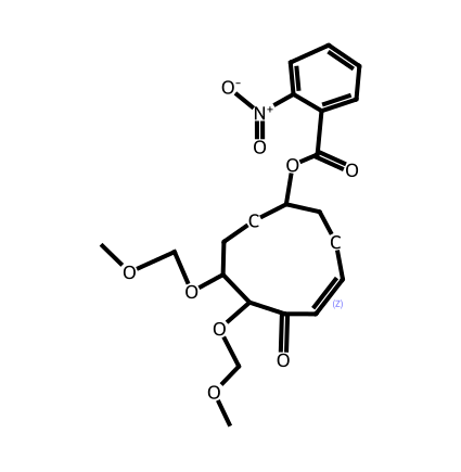 COCOC1CCC(OC(=O)c2ccccc2[N+](=O)[O-])CC/C=C\C(=O)C1OCOC